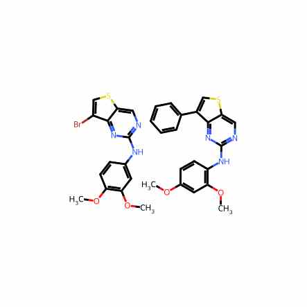 COc1ccc(Nc2ncc3scc(-c4ccccc4)c3n2)c(OC)c1.COc1ccc(Nc2ncc3scc(Br)c3n2)cc1OC